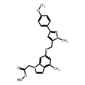 Cc1cc(OCc2cc(-c3ccc(OC(F)(F)F)cc3)nn2C)cc2c1ccn2CC(=O)OC(C)(C)C